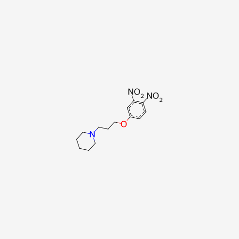 O=[N+]([O-])c1ccc(OCCCN2CCCCC2)cc1[N+](=O)[O-]